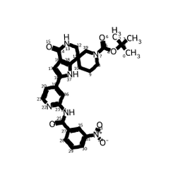 CC(C)(C)OC(=O)N1CCCC2(CNC(=O)c3cc(-c4ccnc(NC(=O)c5cccc([N+](=O)[O-])c5)c4)[nH]c32)C1